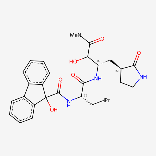 CNC(=O)C(O)[C@H](C[C@@H]1CCNC1=O)NC(=O)[C@H](CC(C)C)NC(=O)C1(O)c2ccccc2-c2ccccc21